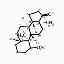 CC(=O)OC1CCC[C@@H]2CC[C@@H]3[C@H](CC[C@]4(C)C(=O)CC[C@@H]34)[C@@]12C